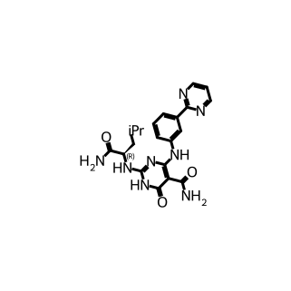 CC(C)C[C@@H](Nc1nc(Nc2cccc(-c3ncccn3)c2)c(C(N)=O)c(=O)[nH]1)C(N)=O